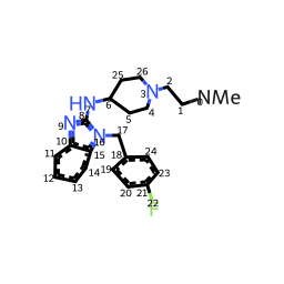 CNCCN1CCC(Nc2nc3ccccc3n2Cc2ccc(F)cc2)CC1